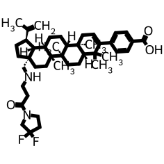 C=C(C)[C@@H]1CC[C@]2(CNCCC(=O)N3CCC(F)(F)C3)CC[C@]3(C)[C@H](CC[C@@H]4[C@@]5(C)CC=C(c6ccc(C(=O)O)cc6)C(C)(C)[C@@H]5CC[C@]43C)[C@@H]12